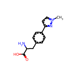 Cn1ccc(-c2ccc(CC(N)C(=O)O)cc2)n1